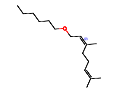 CCCCCCOC/C=C(/C)CCC=C(C)C